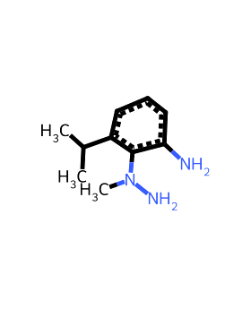 CC(C)c1cccc(N)c1N(C)N